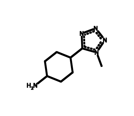 Cn1nnnc1C1CCC(N)CC1